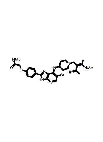 CNC(=O)COc1ccc(-c2nc3c(NC4CCN(C/C(C(C)=N)=C(\C)NC)CC4)c(Br)cnc3[nH]2)cc1